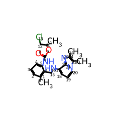 Cc1cccc(NC(=O)OC(C)CCl)c1CNc1cccn2c(C)c(C)nc12